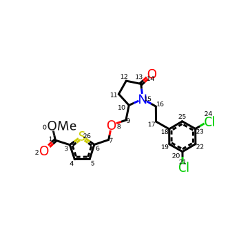 COC(=O)c1ccc(COCC2CCC(=O)N2CCc2cc(Cl)cc(Cl)c2)s1